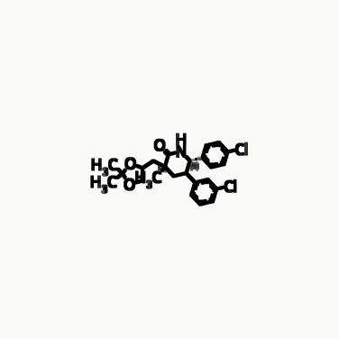 CC1(C)OCC(C[C@@]2(C)CC(c3cccc(Cl)c3)[C@@H](c3ccc(Cl)cc3)NC2=O)O1